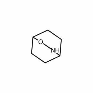 C1CC2CCC1NO2